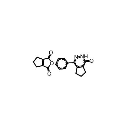 O=C1OC(=O)C2=C1CCC2.O=c1[nH]nc(-c2ccccc2)c2c1CCC2